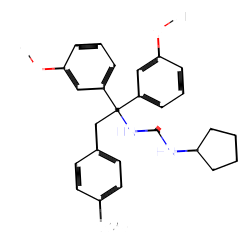 COc1ccc(CC(NC(=O)NC2CCCC2)(c2cccc(OC(F)(F)F)c2)c2cccc(OC(F)(F)F)c2)cc1